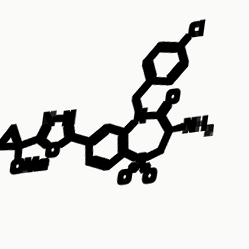 COC1(c2nnc(-c3ccc4c(c3)N(Cc3ccc(Cl)cc3)C(=O)[C@@H](N)CS4(=O)=O)o2)CC1